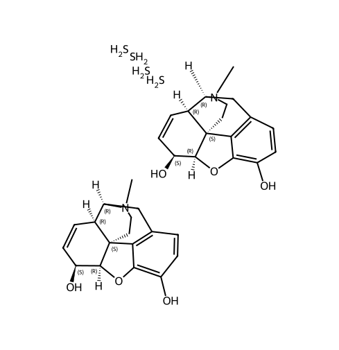 CN1CC[C@]23c4c5ccc(O)c4O[C@H]2[C@@H](O)C=C[C@H]3[C@H]1C5.CN1CC[C@]23c4c5ccc(O)c4O[C@H]2[C@@H](O)C=C[C@H]3[C@H]1C5.S.S.S.S